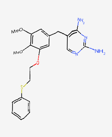 COc1cc(Cc2cnc(N)nc2N)cc(OCCSc2ccccc2)c1OC